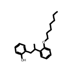 CCCCCCCOc1ccccc1C(C)Cc1ccccc1O